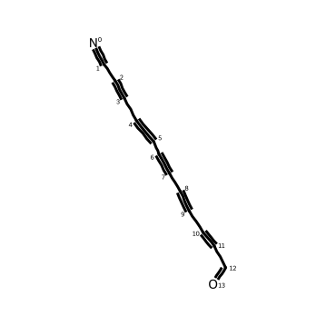 N#CC#CC#CC#CC#CC#CC=O